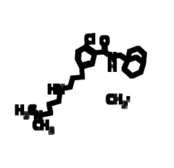 CN(C)CCCNCCCc1ccc(Cl)c(C(=O)NCC23CCCC(CCC2)C3)c1.[CH2]